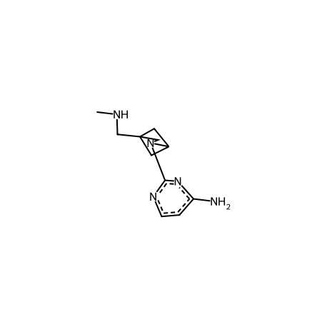 CNCC12CC(C1)N(c1nccc(N)n1)C2